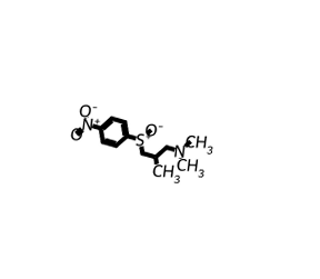 CC(CN(C)C)C[S+]([O-])c1ccc([N+](=O)[O-])cc1